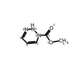 COC(=O)N1C=CC=NN1